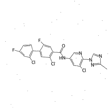 Cc1ncn(-c2ncc(NC(=O)c3cc(F)c(-c4ccc(F)cc4Cl)cc3Cl)cc2Cl)n1